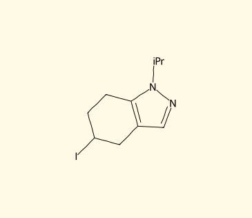 CC(C)n1ncc2c1CCC(I)C2